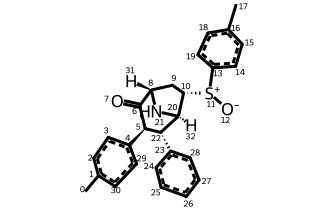 Cc1ccc([C@H]2C(=O)[C@@H]3C[C@H]([S+]([O-])c4ccc(C)cc4)[C@H](N3)[C@@H]2c2ccccc2)cc1